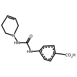 O=C(Nc1ccc(C(=O)O)cc1)NN1CC=CCC1